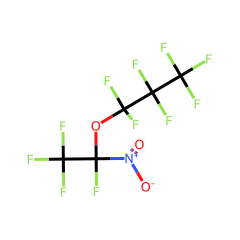 O=[N+]([O-])C(F)(OC(F)(F)C(F)(F)C(F)(F)F)C(F)(F)F